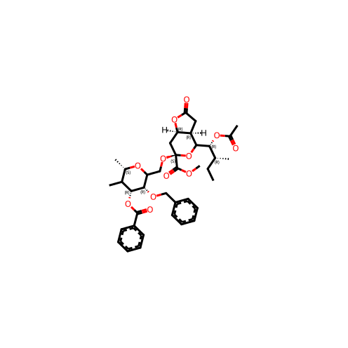 CC[C@@H](C)[C@@H](OC(C)=O)C1O[C@](OCC2O[C@@H](C)C(C)[C@@H](OC(=O)c3ccccc3)[C@H]2OCc2ccccc2)(C(=O)OC)C[C@H]2OC(=O)C[C@@H]12